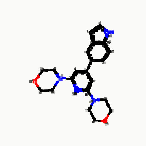 c1cc2cc(-c3cc(N4CCOCC4)nc(N4CCOCC4)c3)ccc2[nH]1